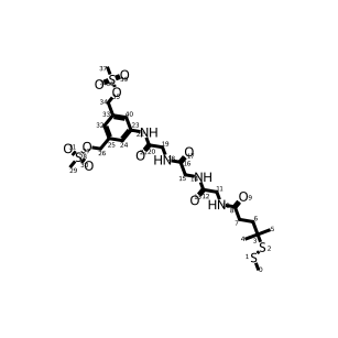 CSSC(C)(C)CCC(=O)NCC(=O)NCC(=O)NCC(=O)Nc1cc(COS(C)(=O)=O)cc(COS(C)(=O)=O)c1